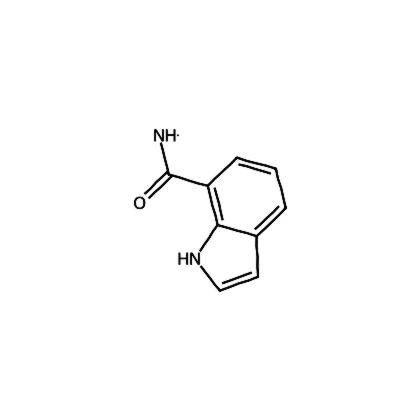 [NH]C(=O)c1cccc2cc[nH]c12